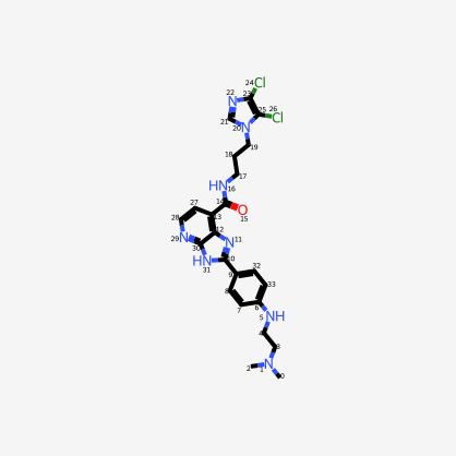 CN(C)CCNc1ccc(-c2nc3c(C(=O)NCCCn4cnc(Cl)c4Cl)ccnc3[nH]2)cc1